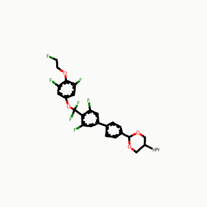 CCCC1COC(c2ccc(-c3cc(F)c(C(F)(F)Oc4cc(F)c(OCCF)c(F)c4)c(F)c3)cc2)OC1